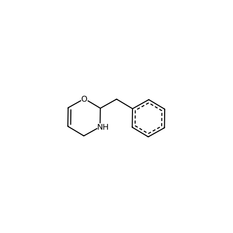 C1=COC(Cc2ccccc2)NC1